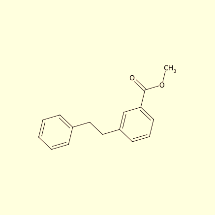 COC(=O)c1cccc(CCc2ccccc2)c1